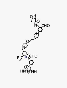 CN(C=N)C(=N)CC1(c2cccc(N(C=O)/C=C3/C(C(F)(F)F)=CC(CN4CCC(OCCCN5CCN(c6ccc(C=O)c(CN(C)C7CCC(=O)NC7=O)c6)CC5)CC4)=CN3C)c2)COC1